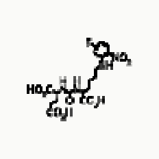 O=C(O)CCC(NC(=O)N[C@@H](CCCCNc1nc(F)ccc1[N+](=O)[O-])C(=O)O)C(=O)O